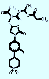 CCC(=O)OC(C)OC(=O)N(C[C@H]1CN(c2ccc(C3CCS(=O)(=O)CC3)c(F)c2)C(=O)O1)C(C)=O